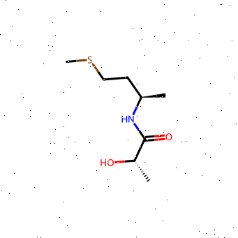 CSCC[C@@H](C)NC(=O)[C@H](C)O